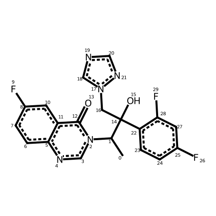 CC(n1cnc2ccc(F)cc2c1=O)C(O)(Cn1cncn1)c1ccc(F)cc1F